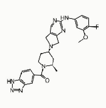 COc1cc(Nc2ncc3c(n2)CN([C@@H]2CCN(C(=O)c4ccc5[nH]nnc5c4)[C@H](C)C2)C3)ccc1F